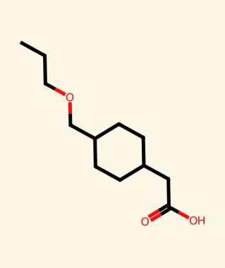 CCCOCC1CCC(CC(=O)O)CC1